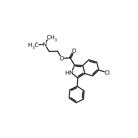 CN(C)CCOC(=O)c1[nH]c(-c2ccccc2)c2cc(Cl)ccc12